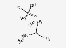 CC(O)C(=O)O.O.O.O.O=P(O)(O)O